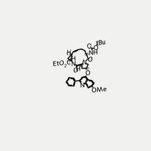 CCOC(=O)[C@@]12C[C@H]1C=CCC[C@H](NC(=O)OC(C)(C)C)C(=O)N1C[C@H](Oc3cc(-c4ccccc4)nc4cc(OC)ccc34)C[C@H]1C(=O)N2